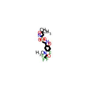 CN(C(=O)C(F)(F)F)c1cc2c(CS(=O)(=O)C3=NOC(C)(C)C3)noc2cc1F